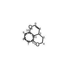 C1=CC2CCOc3cccc(c32)O1